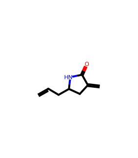 C=CCC1CC(=C)C(=O)N1